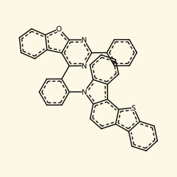 c1ccc(-c2nc(-c3ccccc3-n3c4ccccc4c4c5sc6ccccc6c5ccc43)c3c(n2)oc2ccccc23)cc1